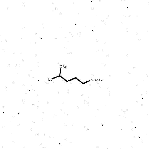 CCCCCCCCC(CC)OC(C)=O